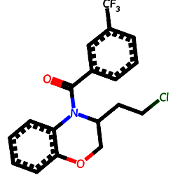 O=C(c1cccc(C(F)(F)F)c1)N1c2ccccc2OCC1CCCl